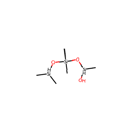 C[SiH](C)O[Si](C)(C)O[SiH](C)O